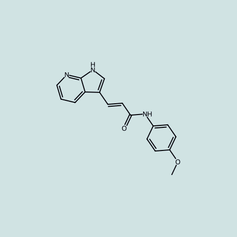 COc1ccc(NC(=O)/C=C/c2c[nH]c3ncccc23)cc1